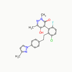 Cc1ccn(-c2ccc(CCc3c(Cl)ccc(F)c3-c3c(O)c(C)nn(C)c3=O)cc2)n1